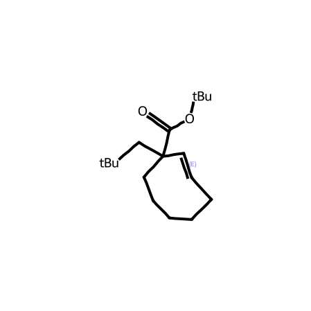 CC(C)(C)CC1(C(=O)OC(C)(C)C)/C=C/CCCCC1